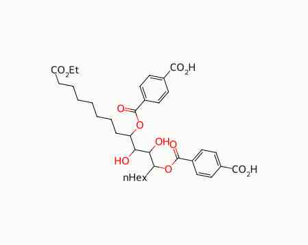 CCCCCCC(OC(=O)c1ccc(C(=O)O)cc1)C(O)C(O)C(CCCCCCCC(=O)OCC)OC(=O)c1ccc(C(=O)O)cc1